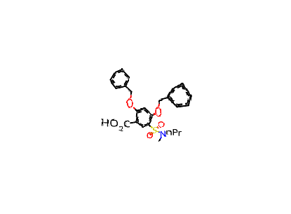 CCCN(C)S(=O)(=O)c1cc(C(=O)O)c(OCc2ccccc2)cc1OCc1ccccc1